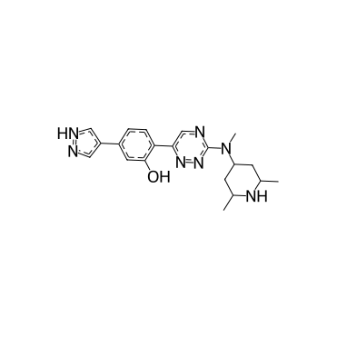 CC1CC(N(C)c2ncc(-c3ccc(-c4cn[nH]c4)cc3O)nn2)CC(C)N1